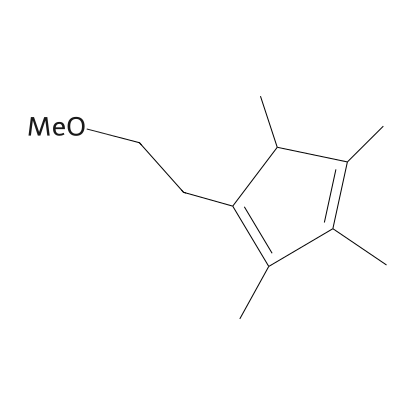 COCCC1=C(C)C(C)=C(C)C1C